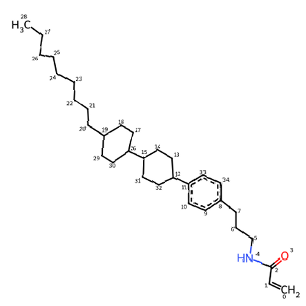 C=CC(=O)NCCCc1ccc(C2CCC(C3CCC(CCCCCCCCC)CC3)CC2)cc1